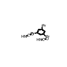 CC(C)c1cc(C(C)C)cc(C(C)C)c1.N=C=O.N=C=O